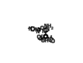 CC1COCCN1c1cc(-c2cnc(N)c(Oc3cnn(C4CCN(C)CC4)c3)n2)cc([C@]2(O)CCO[C@H]2C)c1